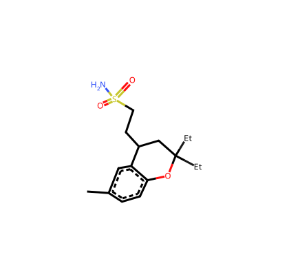 CCC1(CC)CC(CCS(N)(=O)=O)c2cc(C)ccc2O1